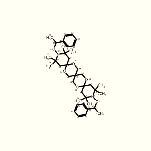 CC(ON1C(C)(C)CC2(CC1(C)C)OCC1(CO2)COC2(CC(C)(C)N(OC(C)c3ccccc3)C(C)(C)C2)OC1)c1ccccc1